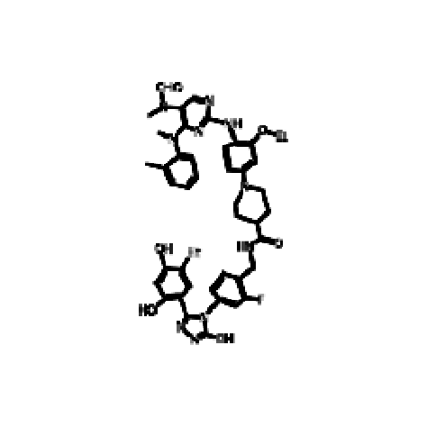 CCOc1cc(N2CCC(C(=O)NCc3ccc(-n4c(O)nnc4-c4cc(CC)c(O)cc4O)cc3F)CC2)ccc1Nc1ncc(N(C)C=O)c(N(C)c2ccccc2C)n1